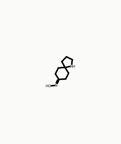 ON=C1CCC2(CCCN2)CC1